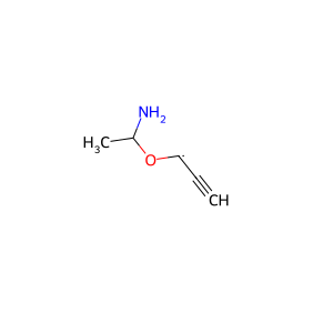 C#C[CH]OC(C)N